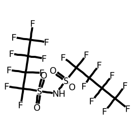 O=S(=O)(NS(=O)(=O)C(F)(F)C(F)(F)C(F)(F)C(F)(F)F)C(F)(F)C(F)(F)C(F)(F)C(F)(F)F